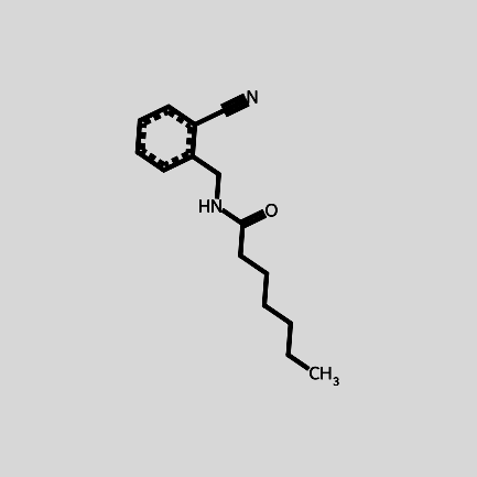 CCCCCCC(=O)NCc1ccccc1C#N